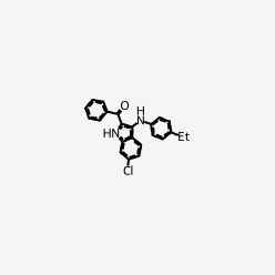 CCc1ccc(Nc2c(C(=O)c3ccccc3)[nH]c3cc(Cl)ccc23)cc1